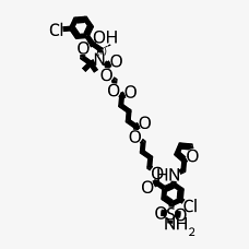 C[C@@H]1N(C(=O)OCOC(=O)CCCC(=O)OCCCCOC(=O)c2cc(S(N)(=O)=O)c(Cl)cc2NCc2ccco2)C(C)(C)CO[C@@]1(O)c1cccc(Cl)c1